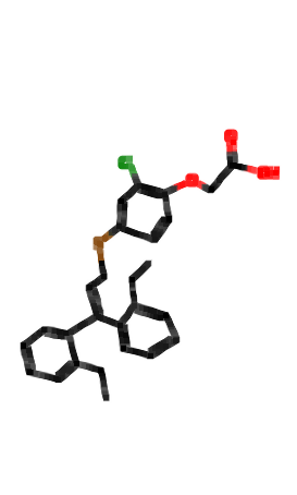 CCc1ccccc1C(=CCSc1ccc(OCC(=O)O)c(Cl)c1)c1ccccc1CC